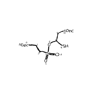 CCCCCCCCCCCCS(=O)(=O)OC(S)CCCCCCCCCCC